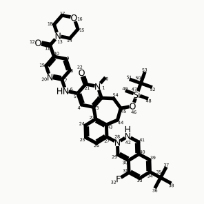 Cn1c2c(cc(Nc3ccc(C(=O)N4CCOCC4)cn3)c1=O)-c1cccc(N3C=c4c(F)cc(C(C)(C)C)cc4=CN3)c1CC(O[Si](C)(C)C(C)(C)C)C2